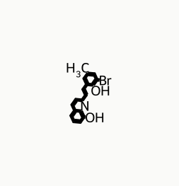 Cc1cc(Br)c(O)c(/C=C/c2ccc3cccc(O)c3n2)c1